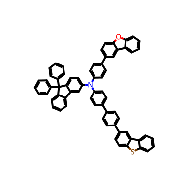 c1ccc(C2(c3ccccc3)c3ccccc3-c3cc(N(c4ccc(-c5ccc(-c6ccc7sc8ccccc8c7c6)cc5)cc4)c4ccc(-c5ccc6oc7ccccc7c6c5)cc4)ccc32)cc1